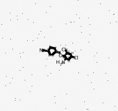 N#Cc1ccc(COc2c(N)cc(Cl)cc2Cl)cc1